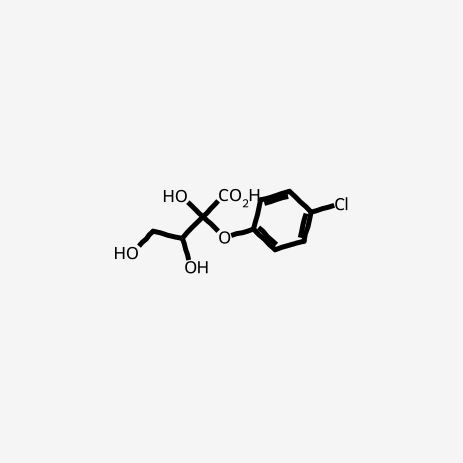 O=C(O)C(O)(Oc1ccc(Cl)cc1)C(O)CO